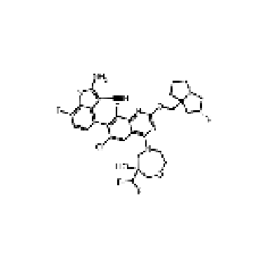 N#Cc1c(N)sc2c(F)ccc(-c3c(Cl)cc4c(N5CCOCC(O)(C(F)F)C5)nc(OC[C@@]56CCCN5C[C@H](F)C6)nc4c3F)c12